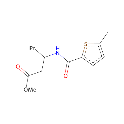 COC(=O)CC(NC(=O)c1ccc(C)s1)C(C)C